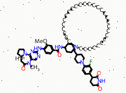 COc1cc(C(=O)NC2CCCC3(CCCCCCCCCCCCCCCCCCCCCCCCCCCCCN3CC3CCN(c4ccc(C5CCC(=O)NC5=O)cc4F)CC3)C2)ccc1Nc1ncc2c(n1)N1CCC[C@@H]1CC(=O)N2C